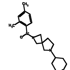 Cc1ccc([S+]([O-])N2CC3(CCN(C4CCOCC4)C3)C2)c(C)c1